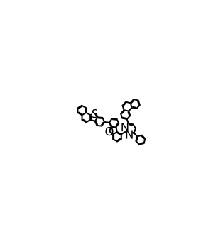 C1=C(c2ccc3ccc4ccccc4c3c2)N=C(c2cccc3oc4c(-c5ccc6c(c5)sc5c7ccccc7ccc65)cccc4c23)N=C(c2ccccc2)C1